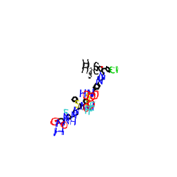 CC1(C)CCC(c2ccc(Cl)cc2)=C(CN2CCN(c3ccc(C(=O)NS(=O)(=O)c4ccc(N[C@H](CCN5CCN(Cc6cc(F)nc(NC7CCC(=O)NC7=O)c6)CC5)CSc5ccccc5)c(S(=O)(=O)C(F)(F)F)c4)cc3)CC2)C1